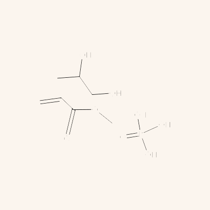 C=CC(=O)OC.CC(O)CO.O=P(O)(O)O